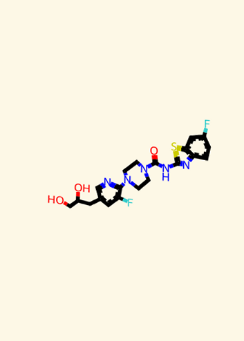 O=C(Nc1nc2ccc(F)cc2s1)N1CCN(c2ncc(CC(O)CO)cc2F)CC1